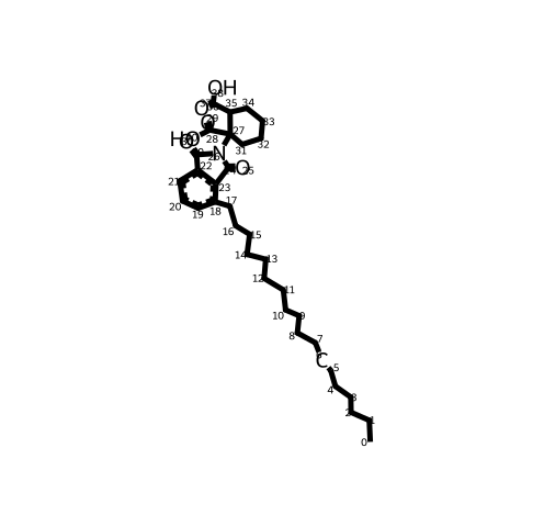 CCCCCCCCCCCCCCCCCCc1cccc2c1C(=O)N(C1(C(=O)O)CCCCC1C(=O)O)C2=O